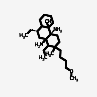 CCC1C(C)(CCCCOC)CC[C@]2(N)C3(C)CCCCC3[C@@H](CC)CC12N